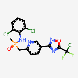 CP(=O)(Cc1ccc(-c2noc(C(F)(F)Cl)n2)cn1)Nc1c(Cl)cccc1Cl